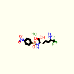 Cl.N[C@H](C=CC[C@H](NS(=O)(=O)c1ccc([N+](=O)[O-])cc1)C(=O)O)C(F)(F)F